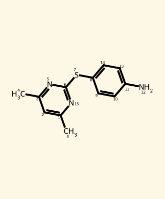 Cc1cc(C)nc(Sc2ccc(N)cc2)n1